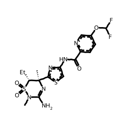 CC[C@@H]1[C@@](C)(c2nc(NC(=O)c3ccc(OC(F)F)cn3)cs2)N=C(N)N(C)S1(=O)=O